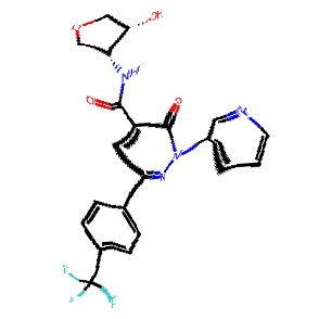 O=C(N[C@@H]1COC[C@@H]1O)c1cc(-c2ccc(C(F)(F)F)cc2)nn(-c2cccnc2)c1=O